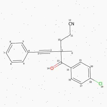 CC(C#Cc1ccccc1)(CCC#N)C(=O)c1ccc(Cl)cc1